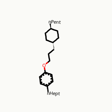 CCCCCCCc1ccc(OCCC[C@H]2CC[C@H](CCCCC)CC2)cc1